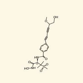 COC(C#CC#Cc1ccc(C(=O)N[C@H](C(=O)NO)C(C)(C)S(C)(=O)=O)cc1)CO